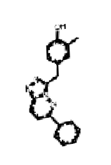 Cc1cc(Cc2nnc3ccc(-c4ccccc4)nn23)ccc1O